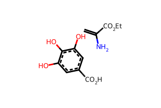 C=C(N)C(=O)OCC.O=C(O)c1cc(O)c(O)c(O)c1